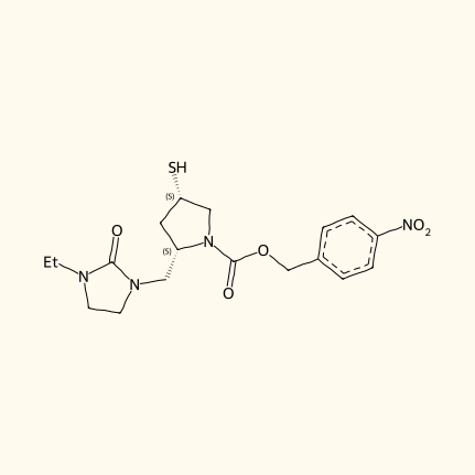 CCN1CCN(C[C@@H]2C[C@H](S)CN2C(=O)OCc2ccc([N+](=O)[O-])cc2)C1=O